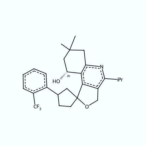 CC(C)c1nc2c(c3c1COC31CCC(c3ccccc3C(F)(F)F)C1)[C@H](O)CC(C)(C)C2